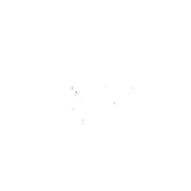 CCN(CC)C(=O)c1ccc(Br)cc1C=O